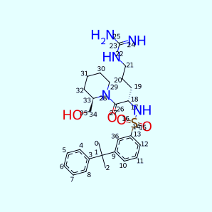 CC(C)(c1ccccc1)c1cccc(S(=O)(=O)N[C@@H](CCCNC(=N)N)C(=O)N2CCCC[C@@H]2CO)c1